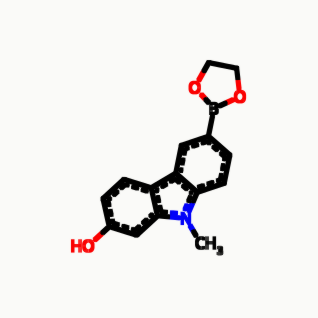 Cn1c2ccc(B3OCCO3)cc2c2ccc(O)cc21